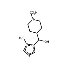 Cn1cncc1C(O)C1CCN(C(=O)O)CC1